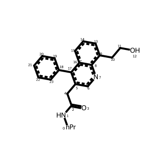 CCCNC(=O)Cc1cnc2c(CCO)cccc2c1-c1ccccc1